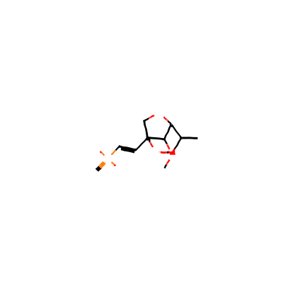 C=P(O)(O)/C=C/C12COC(C(C)CO1)C2OC